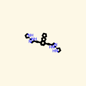 C(#Cc1ccc(C#Cc2cnc([C@@H]3CCCN3)[nH]2)c2c1CC1(CCCC1)C2)c1cnc([C@@H]2CCCN2)[nH]1